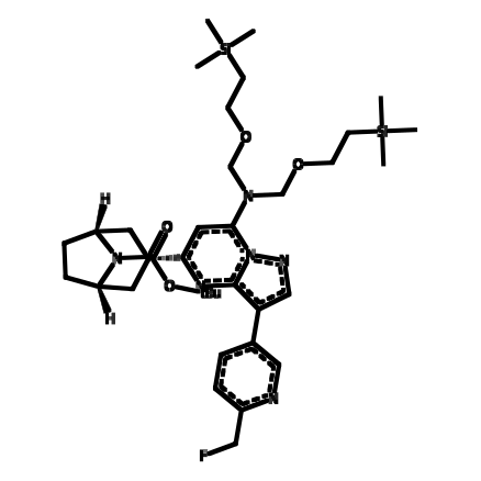 CC(C)(C)OC(=O)N1[C@@H]2CC[C@H]1C[C@@H](c1cc(N(COCC[Si](C)(C)C)COCC[Si](C)(C)C)n3ncc(-c4ccc(CF)nc4)c3n1)C2